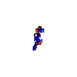 CCc1cccc(CC)c1NC(=O)c1cn(C)c2c1CCCc1cnc(Nc3ccc(N4CCN(C)CC4)cc3OC)nc1-2